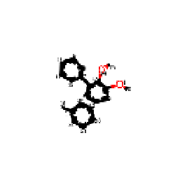 COc1cccc(-c2ccccc2)c1OC.Cc1ccccc1